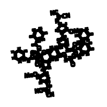 COc1cc(N=C(C#N)C#N)sc1-c1nc(CC(=O)OCc2ccccc2)c(-c2cc3c(cc2OCC(=O)OCc2ccccc2)-c2sc(-c4sc(N=C(C#N)C#N)cc4OC)nc2C(C(=O)OCc2ccccc2)(C(=O)OCc2ccccc2)O3)s1